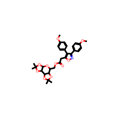 COc1ccc(-c2noc(CC(=O)OCC3OC4OC(C)(C)OC4C4OC(C)(C)OC34)c2-c2ccc(OC)cc2)cc1